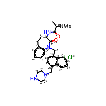 CNC(C)C(=O)NC1CCc2ccccc2N(Cc2ccc(CN3CCNCC3)c3ccccc23)C1=O.Cl